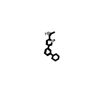 CC1BC1c1ccc(-c2cccc(C3CCCCC3)c2)c[n+]1C